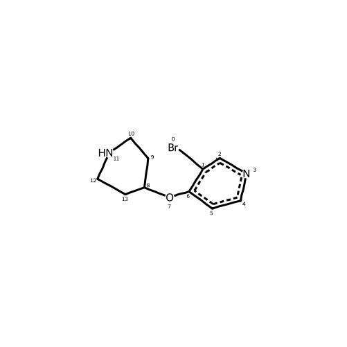 Brc1[c]nccc1OC1CCNCC1